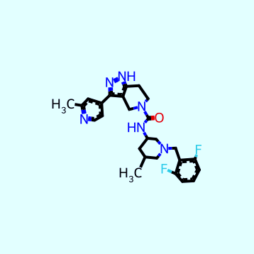 Cc1cc(-c2n[nH]c3c2CN(C(=O)NC2CC(C)CN(Cc4c(F)cccc4F)C2)CC3)ccn1